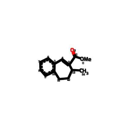 COC(=O)C1=Cc2ccccc2CCC1C